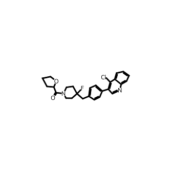 O=C(C1CCCO1)N1CCC(F)(Cc2ccc(-c3cnc4ccccc4c3Cl)cc2)CC1